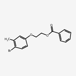 Cc1cc(OCCOC(=O)c2ccccc2)ccc1Br